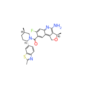 Cc1nc2ccc([C@@H]3CC[C@@H](C)CN3C(=O)c3cc4c5c(c(N)nc4cc3F)[C@@H](C)OC5)cc2s1